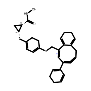 O=C(NO)[C@H]1C[C@H]1CC1=CC=C(OC/C2=C/C(C3=CCCC=C3)=C=CCC3=CCCC=C32)CC1